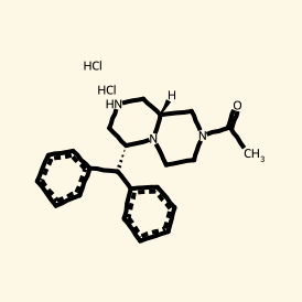 CC(=O)N1CCN2[C@H](CNC[C@H]2C(c2ccccc2)c2ccccc2)C1.Cl.Cl